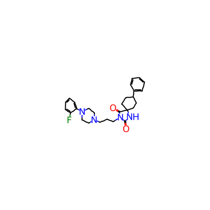 O=C1NC2(CCC(c3ccccc3)CC2)C(=O)N1CCCN1CCN(c2ccccc2F)CC1